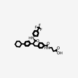 O=C(O)CCNC(=O)c1ccc(CC(C(=O)Nc2ccc(C(F)(F)F)cc2)c2ccc(C3CCCCC3)cc2)cc1